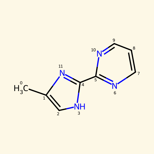 Cc1c[nH]c(-c2ncccn2)n1